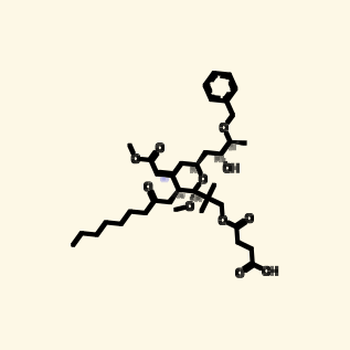 CCCCCCCC(=O)C[C@H]1/C(=C/C(=O)OC)C[C@@H](C[C@@H](O)[C@H](C)OCc2ccccc2)O[C@@]1(OC)C(C)(C)COC(=O)CCC(=O)O